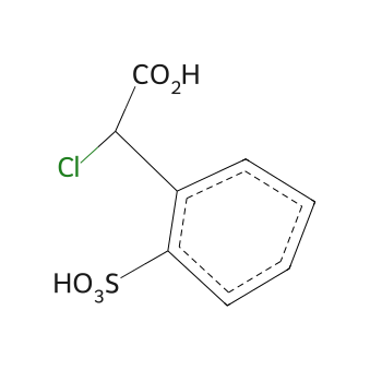 O=C(O)C(Cl)c1ccccc1S(=O)(=O)O